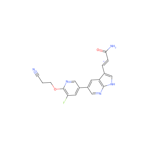 N#CCCOc1ncc(-c2cnc3[nH]cc(/C=C/C(N)=O)c3c2)cc1F